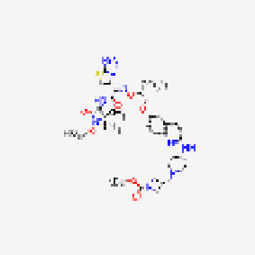 CC(C)(C)OC(=O)N1CC(CN2CCC(Nc3ccc4cc(OCC(O/N=C(\C(=O)N[C@@H]5C(=O)N(OS(=O)(=O)O)C5(C)C)c5csc(N)n5)C(=O)O)ccc4n3)CC2)C1